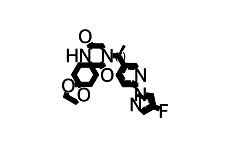 C[C@@H](c1ccc(-n2cc(F)cn2)nc1)N1CC(=O)NC2(CCC3(CC2)OCCO3)C1=O